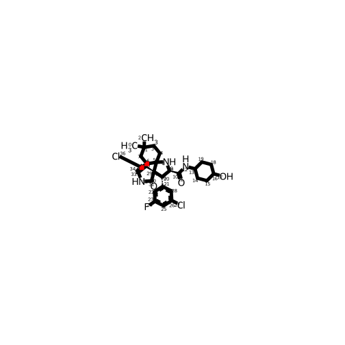 CC1(C)CCC2(CC1)N[C@@H](C(=O)NC1CCC(O)CC1)[C@H](c1cc(F)cc(Cl)c1)[C@]21C(=O)Nc2cc(Cl)ccc21